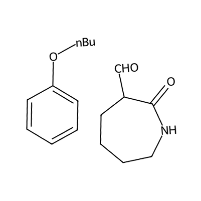 CCCCOc1ccccc1.O=CC1CCCCNC1=O